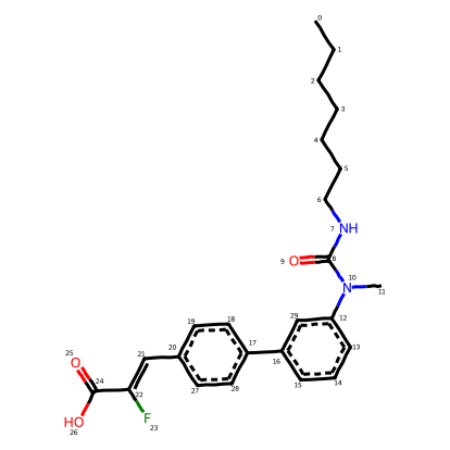 CCCCCCCNC(=O)N(C)c1cccc(-c2ccc(/C=C(\F)C(=O)O)cc2)c1